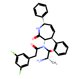 C[C@H](N)C(=O)N(C(=O)Cc1cc(F)cc(F)c1)[C@@H]1C(=O)N[C@H](c2ccccc2)C=C[C@H]1c1ccccc1